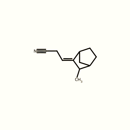 CC1C(=CCC#N)C2CCC1C2